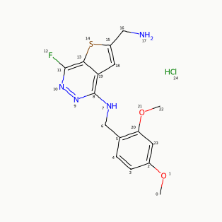 COc1ccc(CNc2nnc(F)c3sc(CN)cc23)c(OC)c1.Cl